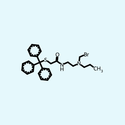 CCCN(CBr)CCNC(=O)CSC(c1ccccc1)(c1ccccc1)c1ccccc1